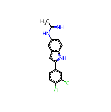 CC(=N)Nc1ccc2[nH]c(-c3ccc(Cl)c(Cl)c3)cc2c1